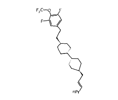 CCC/C=C/C[C@H]1CC[C@H]([C@H]2CC[C@H](CCc3cc(F)c(OC(F)(F)F)c(F)c3)CC2)CC1